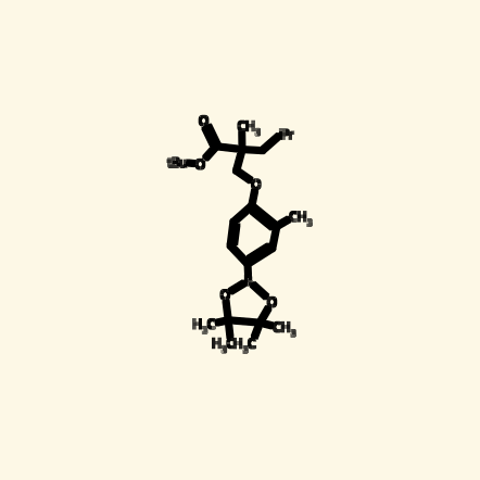 Cc1cc(B2OC(C)(C)C(C)(C)O2)ccc1OCC(C)(CC(C)C)C(=O)OC(C)(C)C